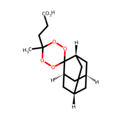 CC1(CCC(=O)O)OOC2(OO1)[C@H]1C[C@@H]3C[C@@H](C[C@H]2C3)C1